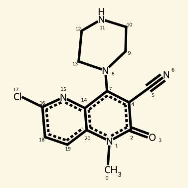 Cn1c(=O)c(C#N)c(N2CCNCC2)c2nc(Cl)ccc21